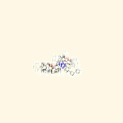 Bc1c(B)c(B)c(-c2c(B)c(B)c3c(oc4c(B)c(-c5nc(-c6ccc(-c7cccc(-c8ccccc8)c7)cc6)nc(-c6c(B)c(B)c(B)c7oc8c(B)c(B)c(B)c(B)c8c67)n5)c(B)c(B)c43)c2B)c(B)c1B